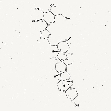 CC(=O)OCC1O[C@@H](n2cc(CN3C[C@@H](C)C[C@H]4O[C@]5(CC[C@@H]6C(=C5C)C[C@H]5[C@H]6CC=C6C[C@@H](O)CC[C@@]65C)[C@H](C)[C@@H]43)nn2)[C@@H](OC(C)=O)C(OC(C)=O)[C@@H]1OC(C)=O